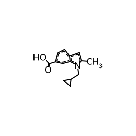 Cc1cc2ccc(C(=O)O)cc2n1CC1CC1